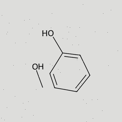 CO.Oc1ccccc1